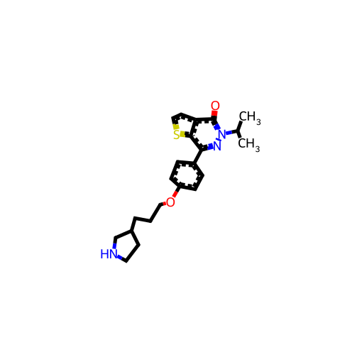 CC(C)n1nc(-c2ccc(OCCCC3CCNC3)cc2)c2sccc2c1=O